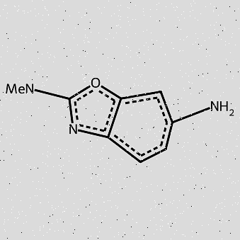 CNc1nc2ccc(N)cc2o1